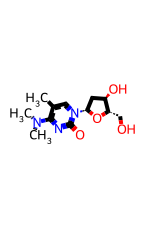 Cc1cn([C@@H]2C[C@@H](O)[C@H](CO)O2)c(=O)nc1N(C)C